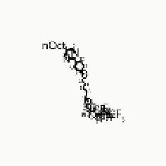 CCCCCCCCc1cnc(-c2ccc(OCCCCCOCC(F)(F)OC(F)(F)C(F)(F)C(F)(F)C(F)(F)F)cc2)nc1